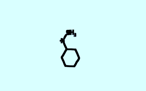 [SiH3][N]C1CCCCC1